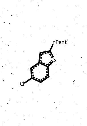 [CH2]CCCCc1cc2cc(Cl)ccc2s1